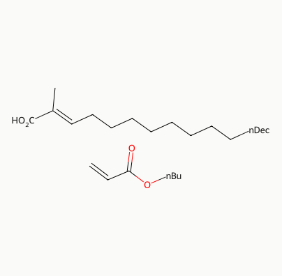 C=CC(=O)OCCCC.CCCCCCCCCCCCCCCCCCC=C(C)C(=O)O